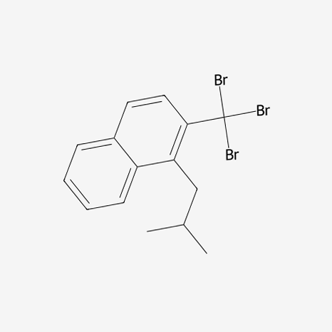 CC(C)Cc1c(C(Br)(Br)Br)ccc2ccccc12